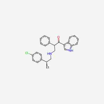 CC[C@H](CNCC(C(=O)c1c[nH]c2ccccc12)c1ccccc1)c1ccc(Cl)cc1